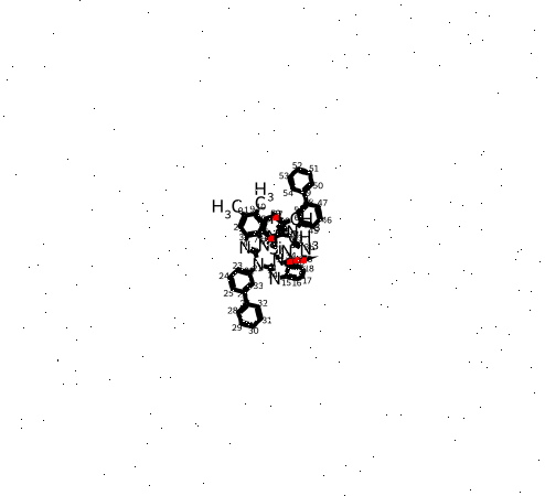 Cc1cc2nc3n(c2cc1C)[Si]1(n2c(nc4ccccc42)N3c2cccc(-c3ccccc3)c2)n2c(nc3ccccc32)N(c2cccc(-c3ccccc3)c2)c2nc3cc(C)c(C)cc3n21